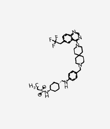 CCS(=O)(=O)N[C@H]1CC[C@H](CNc2ccc(CN3CCC4(CC3)CCN(c3ncnc5ccc(CC(F)(F)F)cc35)CC4)cc2)CC1